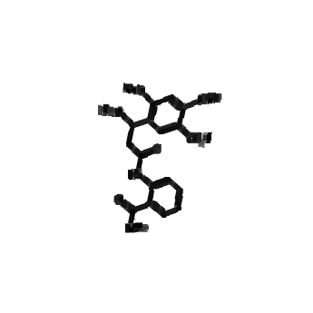 CCCCCC(CC(=O)Nc1ccccc1C(=O)NC)c1cc(C(=O)O)c(OC)cc1OC